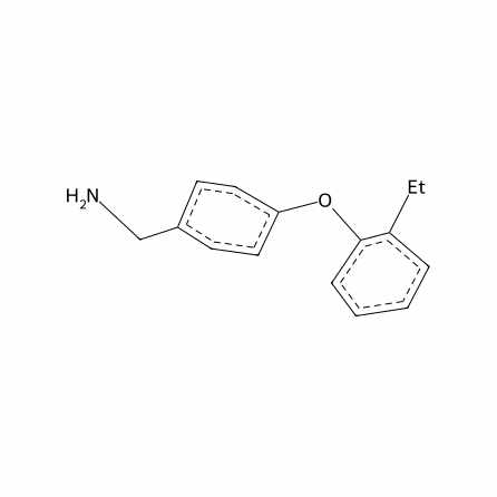 CCc1ccccc1Oc1ccc(CN)cc1